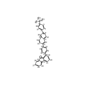 FC(F)(F)c1ccc(-c2ccc3cc(-c4ccc(-c5cccc6c5oc5ccccc56)cc4)ccc3c2)cc1